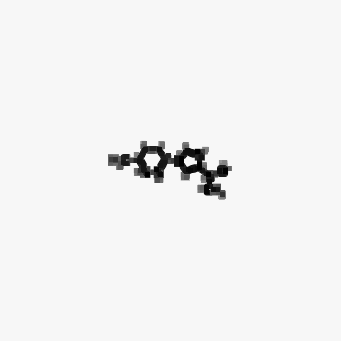 Cc1ccc(-n2cnc([S+](C)[O-])c2)nn1